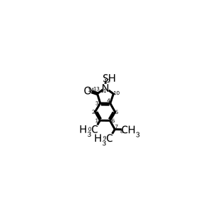 Cc1cc2c(cc1C(C)C)CN(S)C2=O